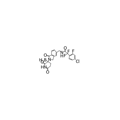 BC1(N2Cc3cc(CNC(=O)C(F)(F)c4ccc(Cl)cc4F)ccc3C2=O)CCC(=O)NC1=O